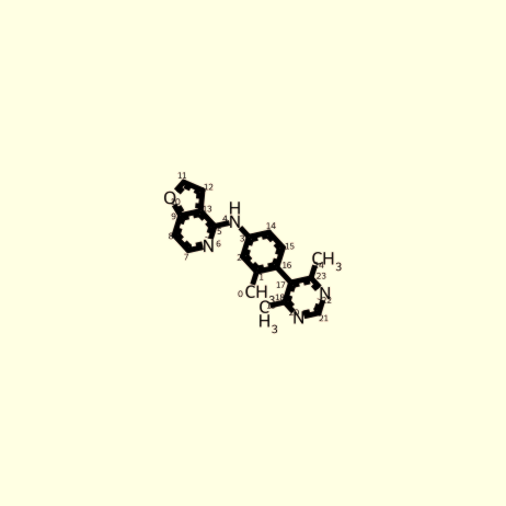 Cc1cc(Nc2nccc3occc23)ccc1-c1c(C)ncnc1C